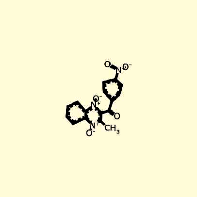 Cc1c(C(=O)c2ccc([N+](=O)[O-])cc2)[n+]([O-])c2ccccc2[n+]1[O-]